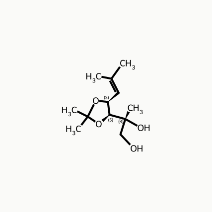 CC(C)=C[C@@H]1OC(C)(C)O[C@@H]1[C@](C)(O)CO